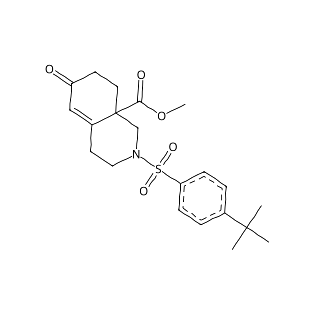 COC(=O)C12CCC(=O)C=C1CCN(S(=O)(=O)c1ccc(C(C)(C)C)cc1)C2